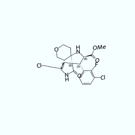 COC(=O)[C@@H]1NC2(CCOCC2)[C@@]2(C(=O)Nc3cc(Cl)ccc32)[C@H]1c1cccc(Cl)c1F